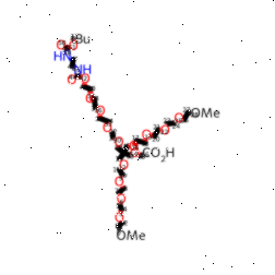 COCCOCCOCCOCCOCC(COCCOCCOCCOCCOC)(COCCOCCOCCOCCOC(=O)NCCNC(=O)OC(C)(C)C)COCC(=O)O